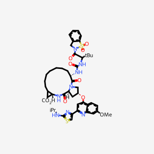 COc1ccc2c(O[C@@H]3C[C@H]4C(=O)N[C@]5(C(=O)O)CC5CCCCCCC[C@H](NC(=O)NC(C(=O)N5Cc6ccccc6S5(=O)=O)C(C)(C)C)C(=O)N4C3)cc(-c3csc(NC(C)C)n3)nc2c1